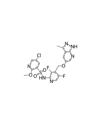 COc1ncc(Cl)cc1S(=O)(=O)Nc1ncc(F)c(COc2cnc3[nH]nc(C)c3c2)c1F